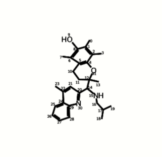 Cc1c(C)c2c(c(C)c1O)CCC(C)(C(NCC(C)C)c1cc(C)c3ccccc3n1)O2